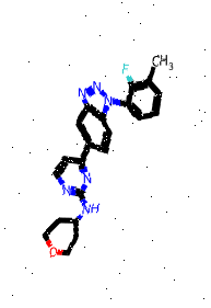 Cc1cccc(-n2nnc3cc(-c4ccnc(NC5CCOCC5)n4)ccc32)c1F